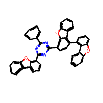 c1ccc(-c2nc(-c3cccc4c3oc3ccccc34)nc(-c3ccc(-c4cccc5oc6ccccc6c45)c4c3oc3ccccc34)n2)cc1